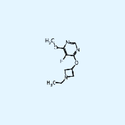 CCN1CC(Oc2ncnc(OC)c2F)C1